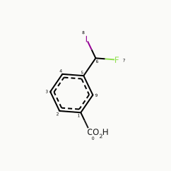 O=C(O)c1cccc(C(F)I)c1